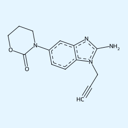 C#CCn1c(N)nc2cc(N3CCCOC3=O)ccc21